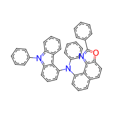 c1ccc(-c2nc3c(ccc4cccc(N(c5ccccc5)c5cccc6c5c5ccccc5n6-c5ccccc5)c43)o2)cc1